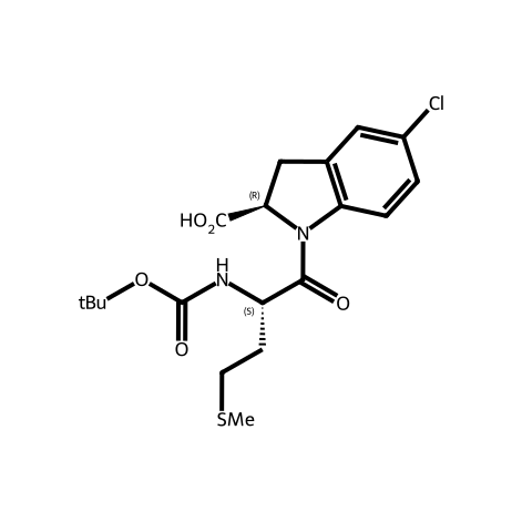 CSCC[C@H](NC(=O)OC(C)(C)C)C(=O)N1c2ccc(Cl)cc2C[C@@H]1C(=O)O